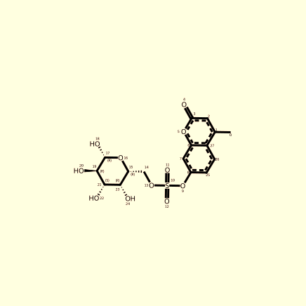 Cc1cc(=O)oc2cc(OS(=O)(=O)OC[C@H]3O[C@@H](O)[C@H](O)[C@@H](O)[C@H]3O)ccc12